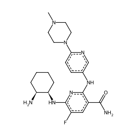 CN1CCN(c2ccc(Nc3nc(N[C@@H]4CCCC[C@@H]4N)c(F)cc3C(N)=O)cn2)CC1